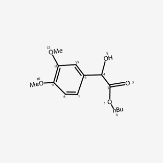 CCCCOC(=O)C(O)c1ccc(OC)c(OC)c1